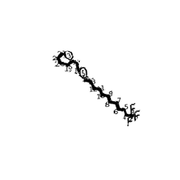 FC(F)(F)CCCCCCCCCCCOCCC1CCCCO1